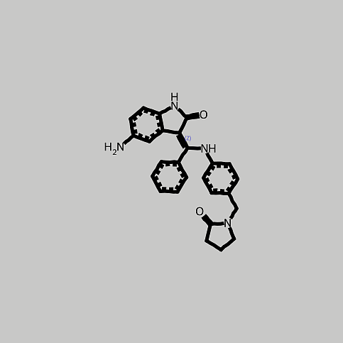 Nc1ccc2c(c1)/C(=C(/Nc1ccc(CN3CCCC3=O)cc1)c1ccccc1)C(=O)N2